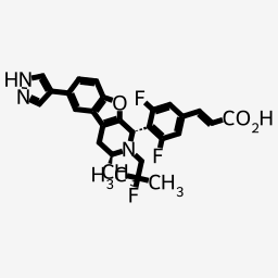 C[C@H]1Cc2c(oc3ccc(-c4cn[nH]c4)cc23)[C@H](c2c(F)cc(/C=C/C(=O)O)cc2F)N1CC(C)(C)F